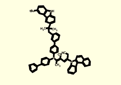 C/C(=C(C#N)\C=C(/CC#N)n1c2ccccc2c2c3ccccc3ccc21)N(c1ccc(-c2ccccc2)cc1)c1ccc(-c2cccc(CC(C)(C)c3ccc4[nH]c5ccc(C(C)(C)C)cc5c4c3)c2)cc1